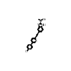 CC(C)N(C)c1nc2cc(C#Cc3ccc(-c4ccc(Cl)cc4)cn3)ccc2[nH]1